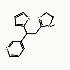 c1cncc(C(CC2=NCCN2)c2cccs2)c1